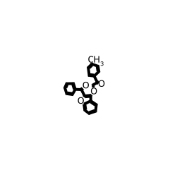 Cc1ccc(C(=O)COc2c(C(=O)c3ccccc3)oc3ccccc23)cc1